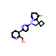 OCc1ncccc1-c1ccc(NCC2(c3ncccc3F)CCC2)nn1